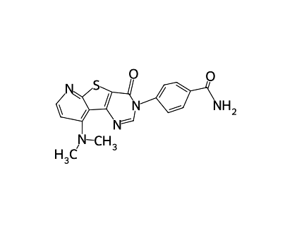 CN(C)c1ccnc2sc3c(=O)n(-c4ccc(C(N)=O)cc4)cnc3c12